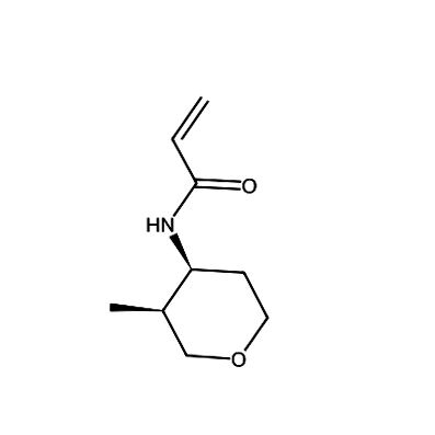 C=CC(=O)N[C@H]1CCOC[C@H]1C